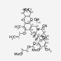 C=CCOc1c(C)c(OCC=C)c(OCC=C)c2c1C[C@H]1[C@H]3c4c(cc(C)c(OC)c4OCOCCOC)CC([C@H](C#N)N1[C@H]2CO)N3C